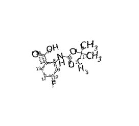 CC(C)(C)OC(=O)Nc1cc(F)ccc1C(=O)O